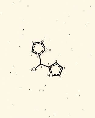 [O]C(c1ccco1)c1ccco1